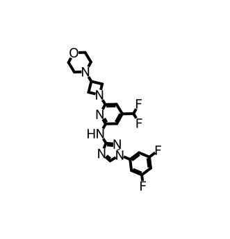 Fc1cc(F)cc(-n2cnc(Nc3cc(C(F)F)cc(N4CC(N5CCOCC5)C4)n3)n2)c1